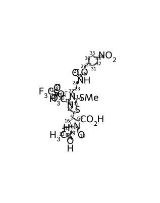 CSc1c2sc(C3=C(C(=O)O)N4C(=O)[C@H]([C@@H](C)O)[C@H]4C3)c[n+]2c(C)n1CCCNC(=O)OCc1ccc([N+](=O)[O-])cc1.O=S(=O)([O-])C(F)(F)F